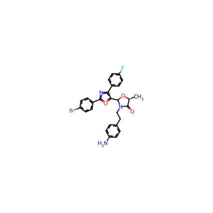 C[C@@H]1OC(c2oc(-c3ccc(Br)cc3)nc2-c2ccc(F)cc2)N(CCc2ccc(N)cc2)C1=O